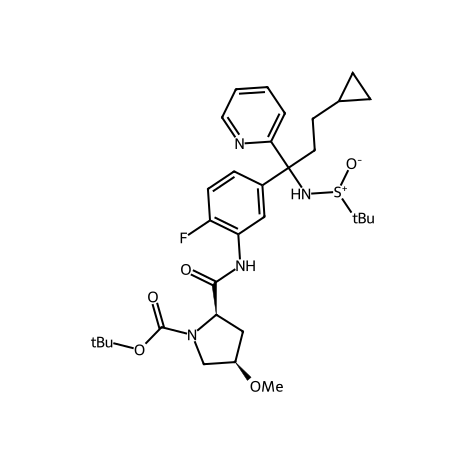 CO[C@@H]1C[C@H](C(=O)Nc2cc(C(CCC3CC3)(N[S+]([O-])C(C)(C)C)c3ccccn3)ccc2F)N(C(=O)OC(C)(C)C)C1